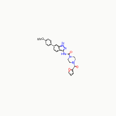 COc1ccc(-c2ccc3c(NC(=O)N4CCN(C(=O)c5ccco5)CC4)n[nH]c3c2)cc1